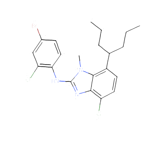 CCCC(CCC)c1ccc(Cl)c2nc(Nc3ccc(Br)cc3Cl)n(C)c12